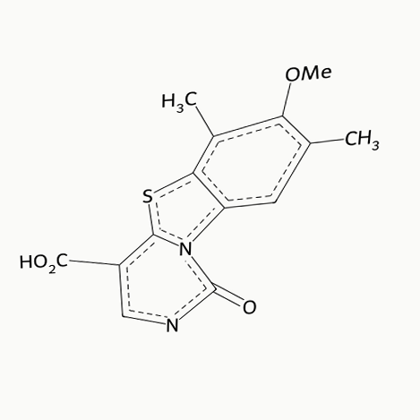 COc1c(C)cc2c(sc3c(C(=O)O)cnc(=O)n32)c1C